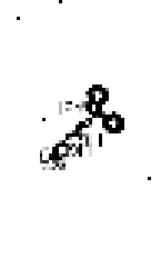 CC(C)n1c(/C=C/[C@@H](O)C[C@@H](O)CC(=O)OC(C)(C)C)c(-c2ccc(F)cc2)c2ccccc21